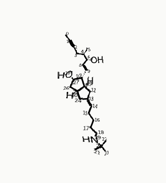 CC#CC[C@@H](C)[C@H](O)/C=C/[C@@H]1[C@H]2C/C(=C/CCCCNC(C)(C)C)C[C@H]2C[C@H]1O